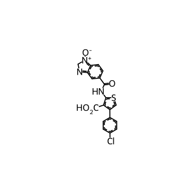 O=C(Nc1scc(-c2ccc(Cl)cc2)c1C(=O)O)c1ccc2c(c1)=NC[N+]=2[O-]